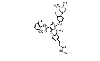 CCCNC(=O)CCc1ccc(Oc2nc(Nc3ccc(N4CCN(C)C(C)C4)c(F)c3)ncc2C(=O)Nc2c(C)cccc2C)c(OC)c1